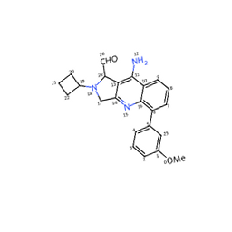 COc1cccc(-c2cccc3c(N)c4c(nc23)CN(C2CCC2)C4C=O)c1